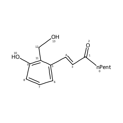 CCCCCC(=O)C=Cc1cccc(O)c1CO